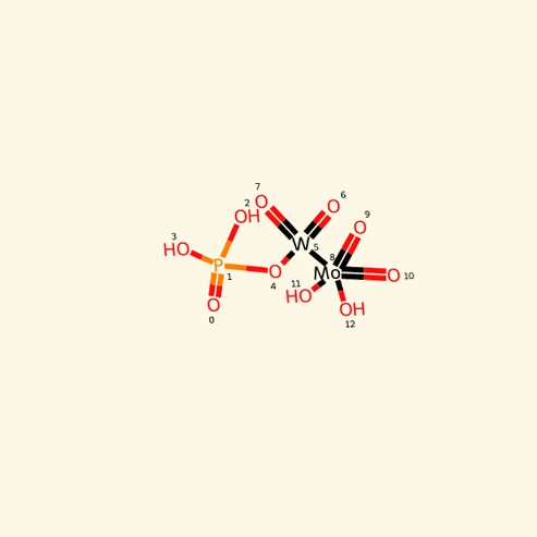 O=P(O)(O)[O][W](=[O])(=[O])[Mo](=[O])(=[O])([OH])[OH]